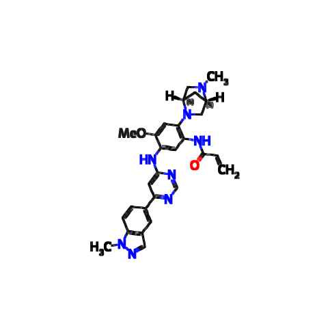 C=CC(=O)Nc1cc(Nc2cc(-c3ccc4c(cnn4C)c3)ncn2)c(OC)cc1N1C[C@@H]2C[C@H]1CN2C